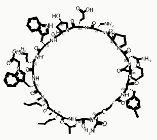 CCCC[C@H]1C(=O)N(C)[C@@H](CCCC)C(=O)N[C@@H](CC(C)C)C(=O)N[C@H](C(N)=O)CCCC(=O)N[C@@H](Cc2ccc(C)cc2)C(=O)N2CCCC[C@@]23C(=O)N3[C@@H](CC(N)=O)C(=O)N2CCC[C@H]2C(=O)N[C@@H](CN)C(=O)N[C@@H](CCC(=O)O)C(=O)N2C[C@H](O)C[C@H]2C(=O)N[C@@H](Cc2c[nH]c3ccccc23)C(=O)N[C@@H](CCN)C(=O)N[C@@H](Cc2cn(CC(=O)O)c3ccccc23)C(=O)N1C